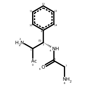 CC(=O)C(N)[C@@H](NC(=O)CN)c1ccccc1